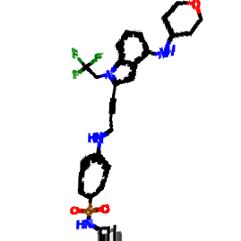 CNS(=O)(=O)c1ccc(NCC#Cc2cc3c(NC4CCOCC4)cccc3n2CC(F)(F)F)cc1